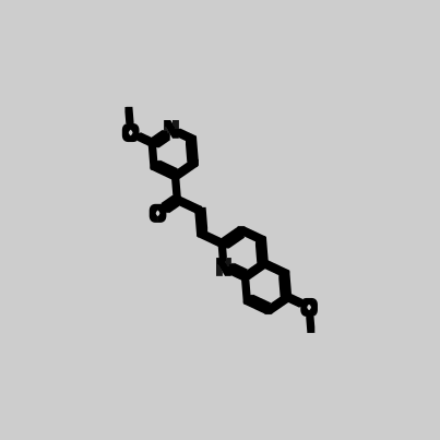 COc1ccc2nc(C=CC(=O)c3ccnc(OC)c3)ccc2c1